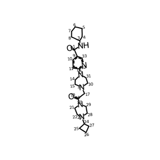 O=C(NC1CCCCC1)c1ccc(N2CCN(CC(=O)N3CCN(C4CCC4)CC3)CC2)nc1